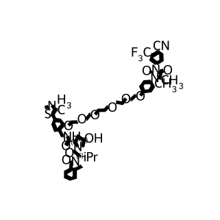 Cc1ncsc1-c1ccc(CNC(=O)[C@@H]2C[C@@H](O)CN2C(=O)[C@H](C(C)C)N2Cc3ccccc3C2=O)c(OCCOCCOCCCOCCOCCOc2ccc(N3C(=O)N(c4ccc(C#N)c(C(F)(F)F)c4)C(=O)C3(C)C)cc2)c1